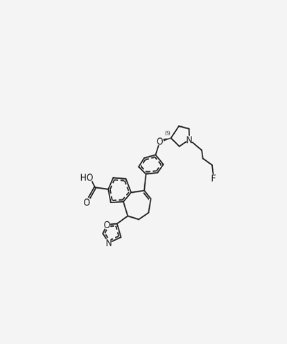 O=C(O)c1ccc2c(c1)C(c1cnco1)CCC=C2c1ccc(O[C@H]2CCN(CCCF)C2)cc1